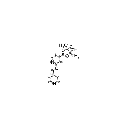 CC1(C)OB(c2ccnc(OCc3ccncc3)c2)OC1(C)C